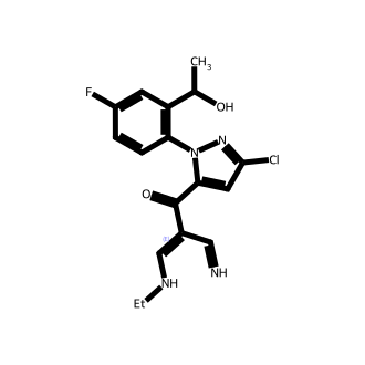 CCN/C=C(\C=N)C(=O)c1cc(Cl)nn1-c1ccc(F)cc1C(C)O